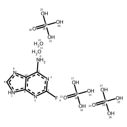 Nc1nc(F)nc2[nH]cnc12.O.O.O=P(O)(O)O.O=P(O)(O)O.O=P(O)(O)O